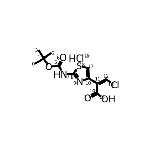 CC(C)(C)OC(=O)Nc1nc(C(=CCl)C(=O)O)cs1.Cl